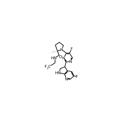 C[C@]1(C(=O)NCC(F)(F)F)CCCN1c1nc(C2CNc3ncc(F)cc32)ncc1F